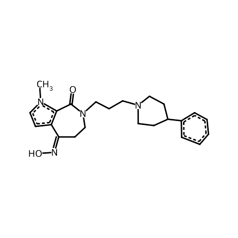 Cn1ccc2c1C(=O)N(CCCN1CCC(c3ccccc3)CC1)CC/C2=N/O